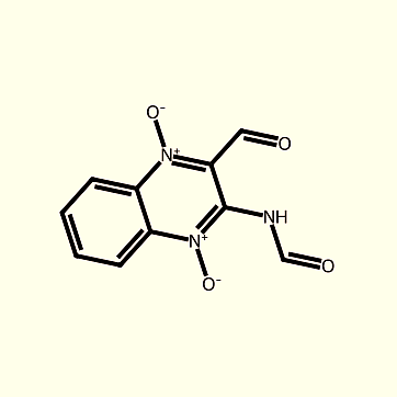 O=CNc1c(C=O)[n+]([O-])c2ccccc2[n+]1[O-]